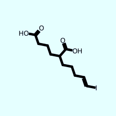 O=C(O)CCCC(CCCC=CI)C(=O)O